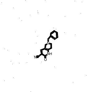 N#Cc1cc2c([nH]c1=O)CCN(Cc1ccccc1)C2